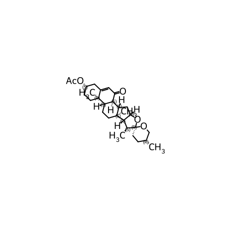 CC(=O)O[C@H]1CC[C@@]2(C)C(=CC(=O)[C@H]3[C@@H]4C[C@@H]5O[C@]6(CC[C@@H](C)CO6)[C@@H](C)[C@@H]5[C@@]4(C)CC[C@@H]32)C1